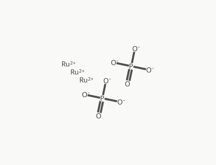 O=P([O-])([O-])[O-].O=P([O-])([O-])[O-].[Ru+2].[Ru+2].[Ru+2]